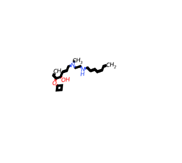 C=C/C=C\C=C\CNCCN(C)C/C=C/C(O)C(C=C)OC1CCC1